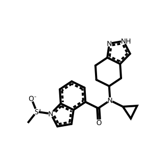 C[S+]([O-])n1ccc2c(C(=O)N(C3CC3)C3CCc4n[nH]cc4C3)cccc21